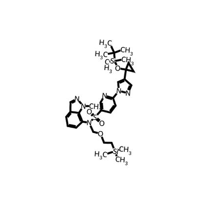 Cn1ncc2cccc(N(COCC[Si](C)(C)C)S(=O)(=O)c3ccc(-n4cc(C5(O[Si](C)(C)C(C)(C)C)CC5)cn4)nc3)c21